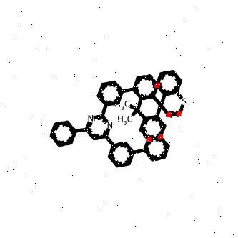 CC1(C)c2ccccc2C2(c3ccccc3Sc3ccccc32)c2cccc(-c3cccc(-c4nc(-c5ccccc5)cc(-c5cccc(-c6ccccc6)c5)n4)c3)c21